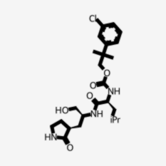 CC(C)C[C@H](NC(=O)OCC(C)(C)c1cccc(Cl)c1)C(=O)N[C@H](CO)C[C@@H]1CCNC1=O